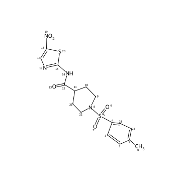 Cc1ccc(S(=O)(=O)N2CCC(C(=O)Nc3ncc([N+](=O)[O-])s3)CC2)cc1